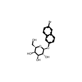 OC[C@H]1O[C@@H](Oc2ccc3cc(Br)ccc3c2)[C@H](O)[C@@H](O)[C@H]1O